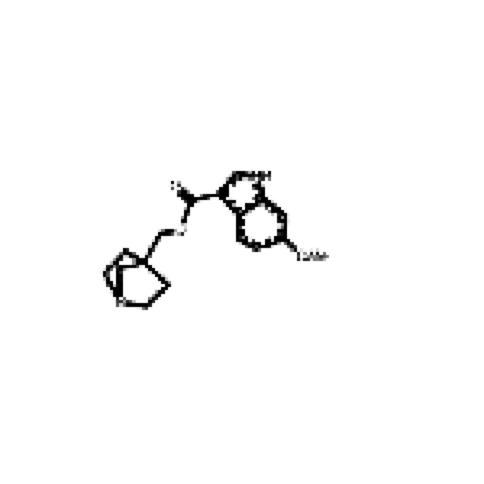 COc1ccc2c(C(=O)OCC34CCN(CC3)C4)c[nH]c2c1